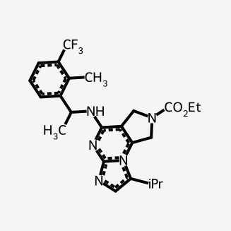 CCOC(=O)N1Cc2c(NC(C)c3cccc(C(F)(F)F)c3C)nc3ncc(C(C)C)n3c2C1